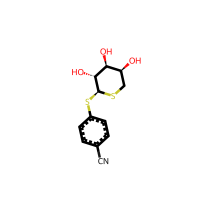 N#Cc1ccc(S[C@@H]2SC[C@H](O)[C@H](O)[C@H]2O)cc1